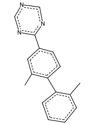 Cc1ccccc1-c1ccc(-c2ncncn2)cc1C